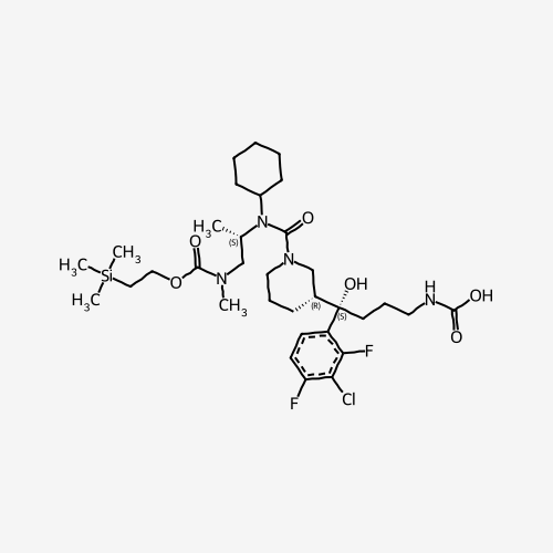 C[C@@H](CN(C)C(=O)OCC[Si](C)(C)C)N(C(=O)N1CCC[C@@H]([C@@](O)(CCCNC(=O)O)c2ccc(F)c(Cl)c2F)C1)C1CCCCC1